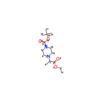 CCOC(=O)C(C)N1CCN(C(=O)OC(C)(C)C)CC1